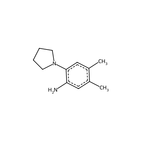 Cc1cc(N)c(N2CCCC2)cc1C